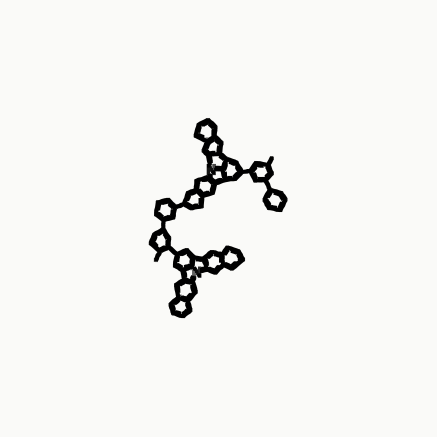 Cc1cc(-c2ccccc2)cc(-c2cc3c4cc5ccccc5cc4n4c5cc6cc(-c7cccc(-c8ccc(C)c(-c9cc%10c%11cc%12ccccc%12cc%11n%11c%12cc%13ccccc%13cc%12c(c9)c%10%11)c8)c7)ccc6cc5c(c2)c34)c1